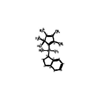 CC1=C(C)C(C)(C)[C]([Zr]([CH3])([CH3])[CH]2CCC3CC=CC=C32)=C1C